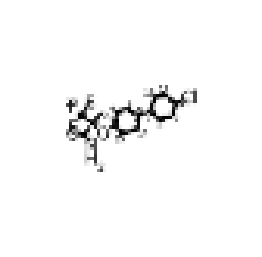 CC(Oc1ccc(-c2ccc(Cl)cc2)cc1)(C(N)=O)C(F)(F)F